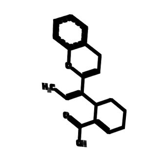 CC=C(C1=CCc2ccccc2O1)C1CCCC=C1C(=O)O